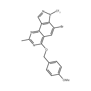 COc1ccc(COc2nc(C)nc3c2cc(Br)c2c3cnn2C(F)(F)F)cc1